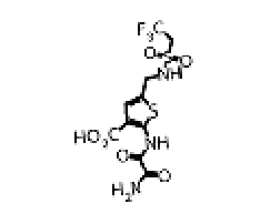 NC(=O)C(=O)Nc1sc(CNS(=O)(=O)CC(F)(F)F)cc1C(=O)O